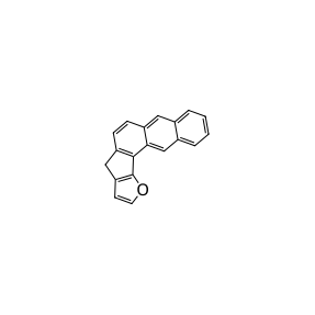 c1ccc2cc3c4c(ccc3cc2c1)Cc1ccoc1-4